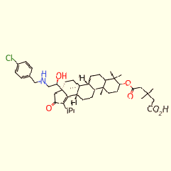 CC(C)C1=C2[C@H]3CCC4[C@@H](CCC5C(C)(C)[C@@H](OC(=O)CC(C)(C)CC(=O)O)CC[C@]45C)[C@]3(C)CC[C@@]2([C@H](O)CNCc2ccc(Cl)cc2)CC1=O